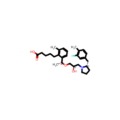 Cc1ccc(C[C@@H]2CCCN2C[C@@H](O)CO[C@H](C)c2cccc(C)c2CCCCC(=O)O)cc1F